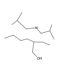 CC(C)[CH2][Al][CH2]C(C)C.CCCCC(CC)CO